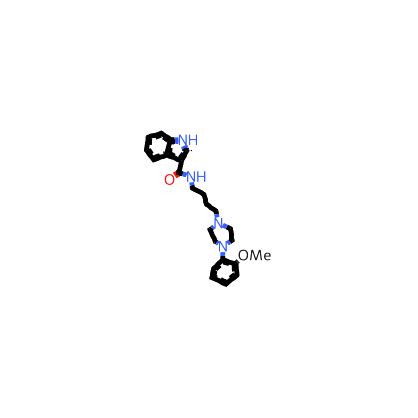 COc1ccccc1N1CCN(CCCCNC(=O)c2[c][nH]c3ccccc23)CC1